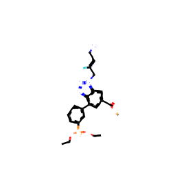 CCOP(=O)(OCC)c1cccc(-c2cc(C(=O)OC)cc3c2nnn3C/C(F)=C/CN)c1.Cl